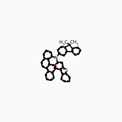 CC1(C)c2ccccc2-c2cc(N(c3ccc4c(c3)sc3ccccc34)c3cccc4ccc5c6ccccc6ccc5c34)ccc21